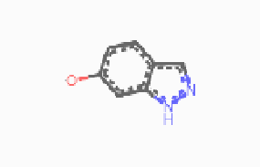 [O]c1ccc2cn[nH]c2c1